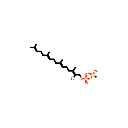 CC/C(COP(=O)(O)OP(C)(=O)O)=C(/C)CC/C=C(\C)CC/C=C(\C)CCC=C(C)C